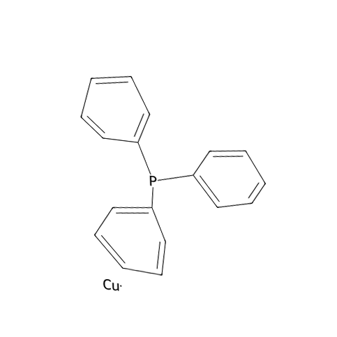 [Cu].c1ccc(P(c2ccccc2)c2ccccc2)cc1